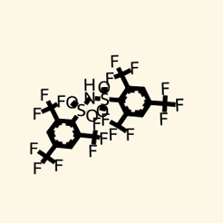 O=S(=O)(NS(=O)(=O)c1c(C(F)(F)F)cc(C(F)(F)F)cc1C(F)(F)F)c1c(C(F)(F)F)cc(C(F)(F)F)cc1C(F)(F)F